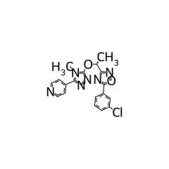 C[C@H](Oc1nnc(-c2ccncc2)n1C)c1noc(-c2cccc(Cl)c2)n1